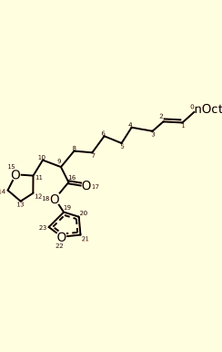 CCCCCCCCC=CCCCCCCC(CC1CCCO1)C(=O)Oc1ccoc1